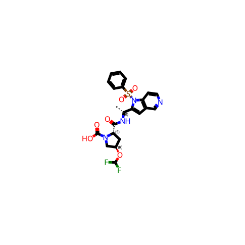 C[C@@H](NC(=O)[C@@H]1C[C@@H](OC(F)F)CN1C(=O)O)c1cc2cnccc2n1S(=O)(=O)c1ccccc1